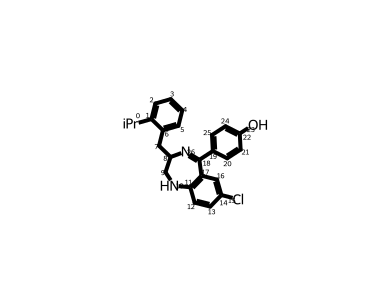 CC(C)c1ccccc1CC1CNc2ccc(Cl)cc2C(c2ccc(O)cc2)=N1